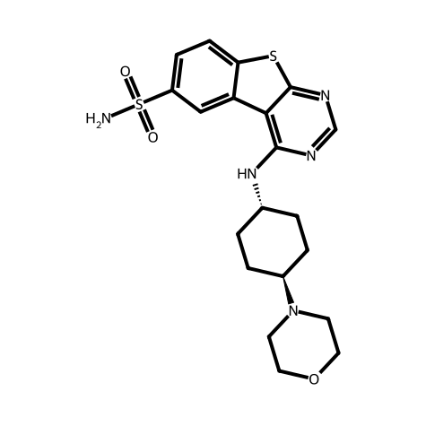 NS(=O)(=O)c1ccc2sc3ncnc(N[C@H]4CC[C@H](N5CCOCC5)CC4)c3c2c1